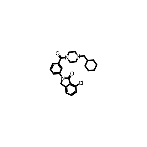 O=C(c1cccc(N2Cc3cccc(Cl)c3C2=O)c1)N1CCN(CC2CCCCC2)CC1